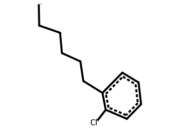 [CH2]CCCCCc1ccccc1Cl